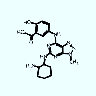 Cn1nnc2c(Nc3ccc(O)c(C(=O)O)c3)nc(NC3CCCCC3N)nc21